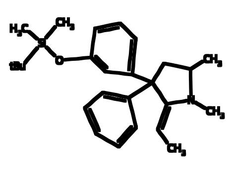 CC=C1N(C)C(C)CC1(c1ccccc1)c1cccc(O[Si](C)(C)C(C)(C)C)c1